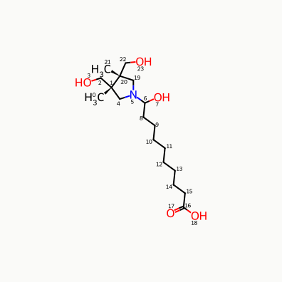 C[C@]1(CO)CN(C(O)CCCCCCCCC(=O)O)C[C@@]1(C)CO